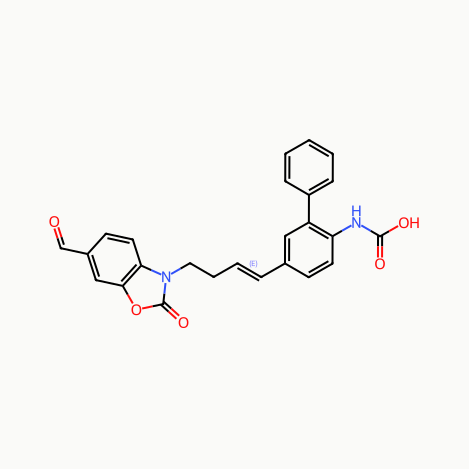 O=Cc1ccc2c(c1)oc(=O)n2CC/C=C/c1ccc(NC(=O)O)c(-c2ccccc2)c1